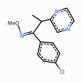 CON=C(c1ccc(Cl)cc1)C(C)c1cnccn1